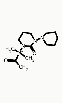 CC(=O)[N+](C)(C)N1CCCN(N2CCCCC2)C1=O